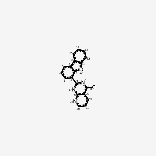 Clc1nc(-c2cccc3c2oc2ccccc23)nc2ncccc12